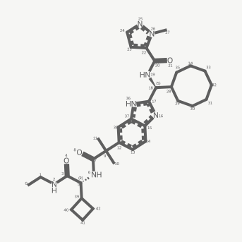 CCNC(=O)[C@H](NC(=O)C(C)(C)c1ccc2nc([C@@H](NC(=O)c3ccnn3C)C3CCCCCCC3)[nH]c2c1)C1CCC1